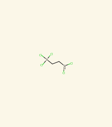 Cl[SiH](Cl)CC[Si](Cl)(Cl)Cl